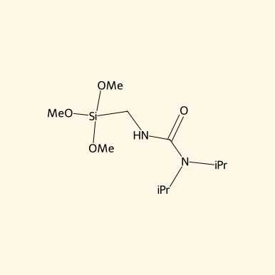 CO[Si](CNC(=O)N(C(C)C)C(C)C)(OC)OC